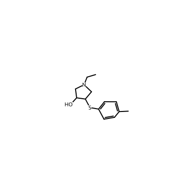 CCN1CC(O)C(Sc2ccc(C)cc2)C1